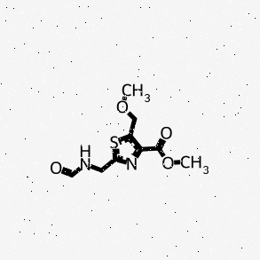 COCc1sc(CNC=O)nc1C(=O)OC